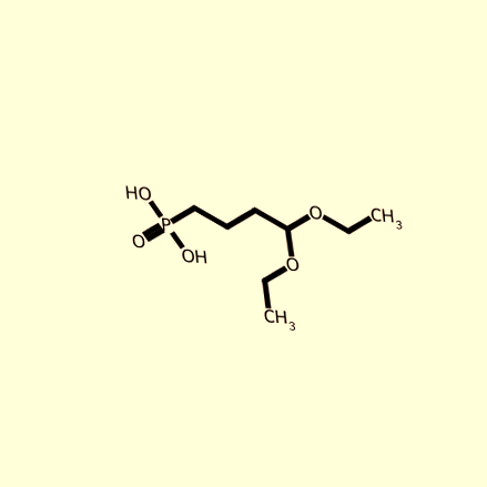 CCOC(CCCP(=O)(O)O)OCC